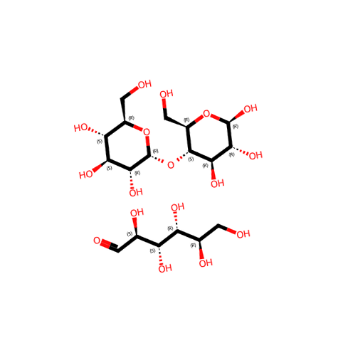 O=C[C@@H](O)[C@@H](O)[C@H](O)[C@H](O)CO.OC[C@H]1O[C@H](O[C@H]2[C@H](O)[C@@H](O)[C@H](O)O[C@@H]2CO)[C@H](O)[C@@H](O)[C@@H]1O